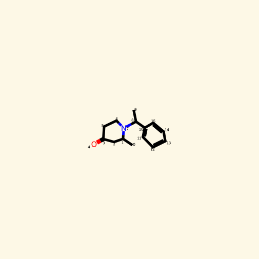 CC1CC(=O)CCN1C(C)c1ccccc1